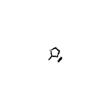 C=C.CC1CCCS1